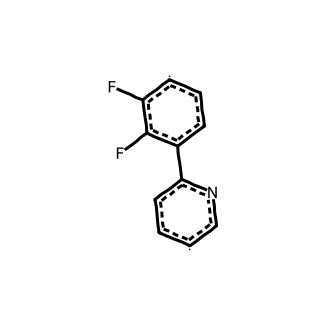 Fc1[c]ccc(-c2cc[c]cn2)c1F